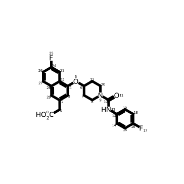 O=C(O)Cc1cc(OC2CCN(C(=O)Nc3ccc(F)cc3)CC2)c2cc(F)ccc2c1